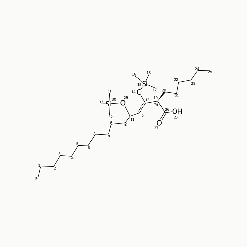 CCCCCCCCCCCC(C=C(O[Si](C)(C)C)[C@@H](CCCCCC)C(=O)O)O[Si](C)(C)C